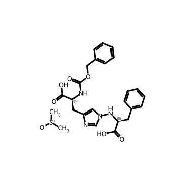 C[S+](C)[O-].O=C(N[C@@H](Cc1cn(N[C@@H](Cc2ccccc2)C(=O)O)cn1)C(=O)O)OCc1ccccc1